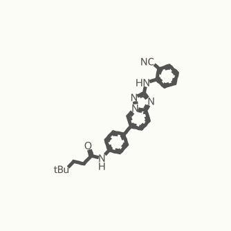 CC(C)(C)CCC(=O)Nc1ccc(-c2ccc3nc(Nc4ccccc4C#N)nn3c2)cc1